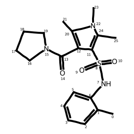 Cc1ccccc1NS(=O)(=O)c1c(C(=O)N2CCCC2)c(C)n(C)c1C